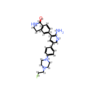 Nc1ncc(-c2ccc(N3CCN(CCF)CC3)cc2)cc1-c1ccc2c(c1)CCNC2=O